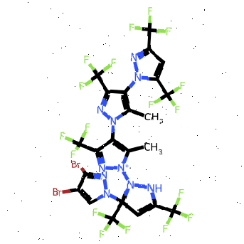 CC1=C(n2nc(C(F)(F)F)c(-n3nc(C(F)(F)F)cc3C(F)(F)F)c2C)C(C(F)(F)F)=N[N+]1N1NC(C(F)(F)F)=CC1(n1cc(Br)c(Br)n1)C(F)(F)F